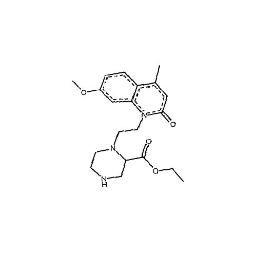 CCOC(=O)C1CNCCN1CCn1c(=O)cc(C)c2ccc(OC)cc21